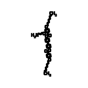 CCCCCCCCOc1ccc(C(=O)Oc2ccc(-c3ccc(OC(=O)c4ccc(OCCCCCCCC)cc4OCCCN)cc3)cc2)cc1